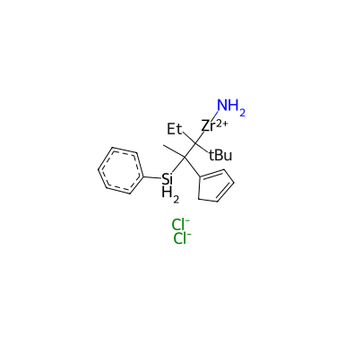 CC[C]([Zr+2][NH2])(C(C)(C)C)C(C)([SiH2]c1ccccc1)C1=CC=CC1.[Cl-].[Cl-]